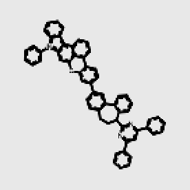 c1ccc(-c2cc(-c3ccccc3)nc(C3CCc4ccc(-c5ccc6c(c5)Oc5cc7c(c8cccc-6c58)c5ccccc5n7-c5ccccc5)cc4-c4ccccc43)n2)cc1